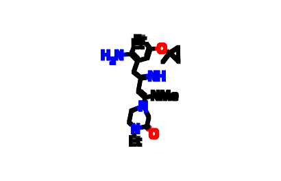 CC/C(=C\C(CC(=N)/C=C(\NC)N1CCN(CC)C(=O)C1)=C(\N)CC)OC1(C)CC1